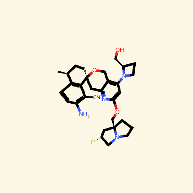 C[C@H]1CC[C@]2(Cc3nc(OC[C@@]45CCCN4C[C@H](F)C5)cc(N4CC[C@@H]4CO)c3CO2)c2c1ccc(N)c2C#N